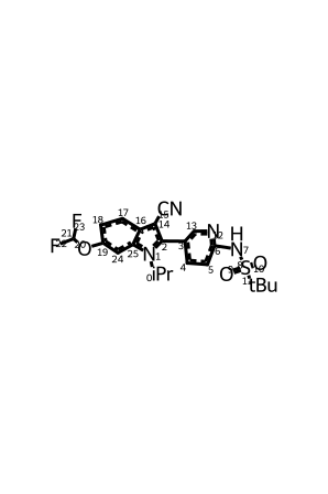 CC(C)n1c(-c2ccc(NS(=O)(=O)C(C)(C)C)nc2)c(C#N)c2ccc(OC(F)F)cc21